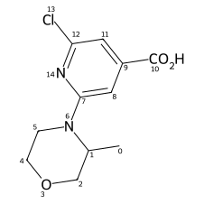 CC1COCCN1c1cc(C(=O)O)cc(Cl)n1